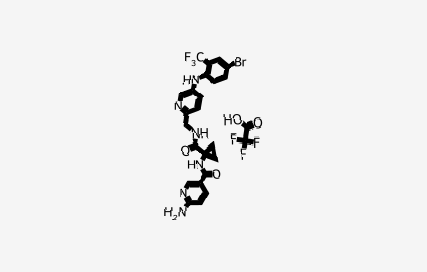 Nc1ccc(C(=O)NC2(C(=O)NCc3ccc(Nc4ccc(Br)cc4C(F)(F)F)cn3)CC2)cn1.O=C(O)C(F)(F)F